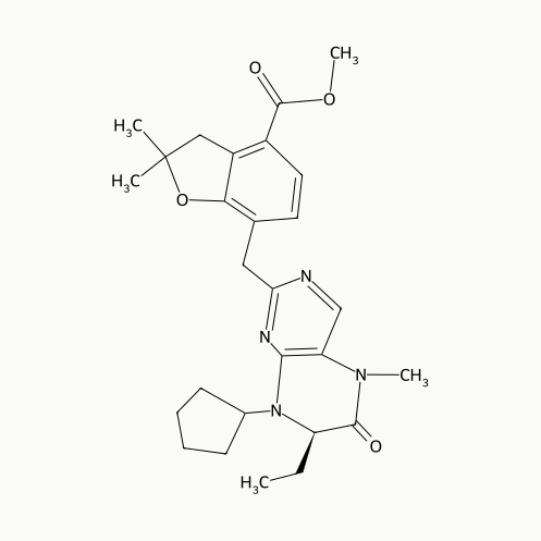 CC[C@@H]1C(=O)N(C)c2cnc(Cc3ccc(C(=O)OC)c4c3OC(C)(C)C4)nc2N1C1CCCC1